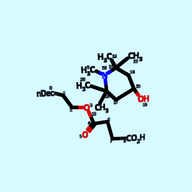 CCCCCCCCCCCCOC(=O)CCC(=O)O.CN1C(C)(C)CC(O)CC1(C)C